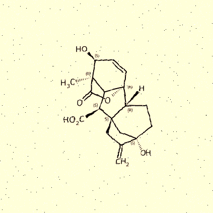 C=C1C[C@]23C[C@@]1(O)CC[C@H]2[C@@]12C=C[C@H](O)[C@](C)(C(=O)O1)C2[C@@H]3C(=O)O